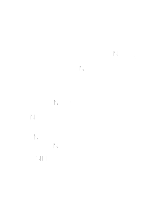 CCNc1ncc2c(n1)N1CCC[C@H]1C[N+]([O-])(Cc1ccc(-c3ccc(Cl)nc3)nc1)C2